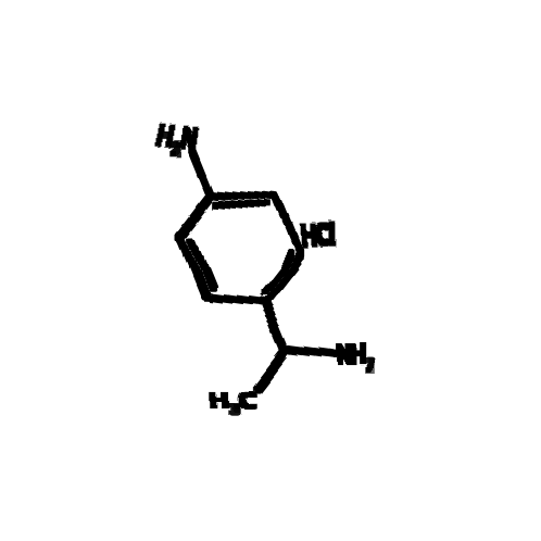 CC(N)c1ccc(N)cc1.Cl